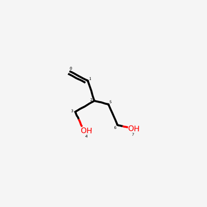 C=CC(CO)CCO